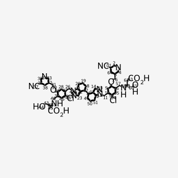 N#Cc1cncc(COc2cc(Cn3ncc4c(-c5cccc6c5cnn6Cc5cc(OCc6cncc(C#N)c6)c(CN[C@@H](CO)C(=O)O)cc5Cl)cccc43)c(Cl)cc2CN[C@@H](CO)CC(=O)O)c1